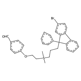 CS(C)(CCCC1(c2ccccc2)c2ccccc2-c2ccc(Br)cc21)CCOc1ccc(C=O)cc1